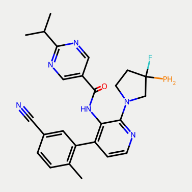 Cc1ccc(C#N)cc1-c1ccnc(N2CCC(F)(P)C2)c1NC(=O)c1cnc(C(C)C)nc1